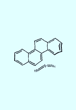 N=[N+]=N.c1ccc2c(c1)ccc1c3ccccc3ccc21